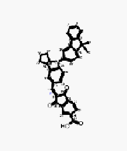 CC1(C)c2ccccc2-c2cc(N3c4ccc(/C=C5\C(=O)c6ccc(C(=O)O)cc6C5=O)cc4C4CCCC43)ccc21